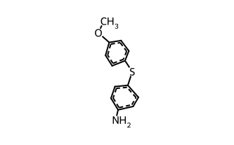 COc1ccc(Sc2ccc(N)cc2)cc1